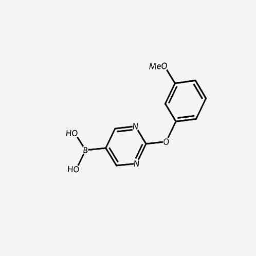 COc1cccc(Oc2ncc(B(O)O)cn2)c1